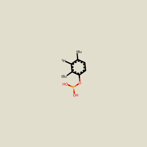 [2H]c1c(C(C)(C)C)ccc(OP(O)O)c1C(C)(C)C